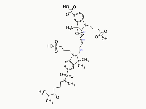 CC(C)C(=O)CCCN(C)S(=O)(=O)c1ccc2c(c1)C(C)(C)C(/C=C/C=C/C=C1/N(CCCS(=O)(=O)O)c3ccc(S(=O)(=O)O)cc3C1(C)C)=[N+]2CCCS(=O)(=O)O